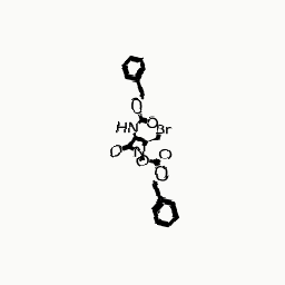 O=C(N[C@@H]1C(=O)N(OC(=O)OCc2ccccc2)[C@@H]1CBr)OCc1ccccc1